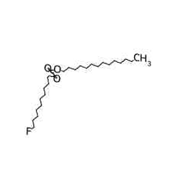 CCCCCCCCCCCCCCOS(=O)(=O)CCCCCCCCCCF